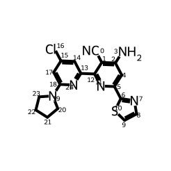 N#Cc1c(N)cc(-c2nccs2)nc1-c1cc(Cl)cc(N2CCCC2)n1